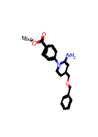 CC(C)(C)OC(=O)c1ccc(N2CCC(COCc3ccccc3)CC2N)cc1